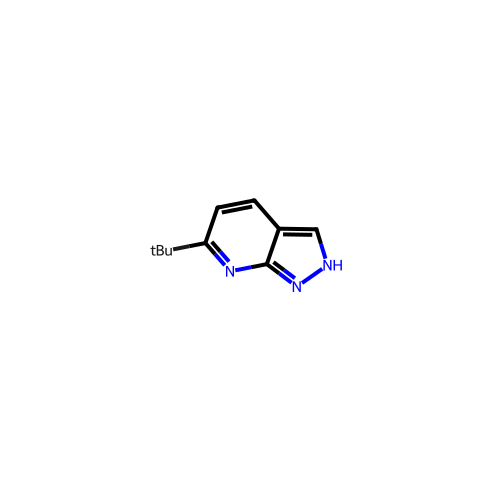 CC(C)(C)c1ccc2c[nH]nc2n1